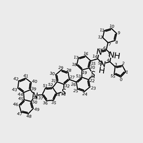 C1=CC=C(C2NC(C3C=CC=CC3)=NC(c3cccc4c3sc3cccc(-c5cccc6c5sc5ccc(-n7c8ccccc8c8ccccc87)cc56)c34)N2)C=1